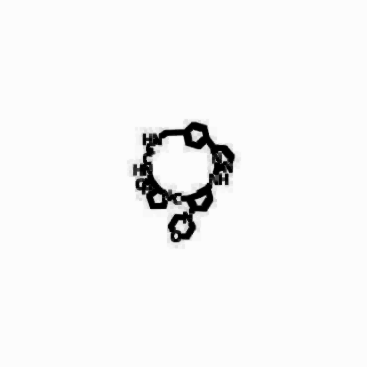 O=C1NCCNCc2ccc(cc2)-c2ccnc(n2)Nc2ccc(N3CCOCC3)c(c2)CN2CCC[C@@H]12